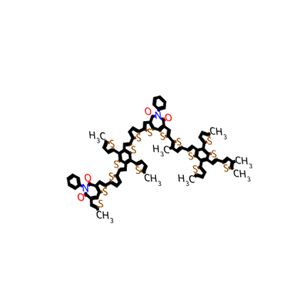 Cc1ccc(-c2c3cc(-c4ccc(-c5cc6c(=O)n(-c7ccccc7)c(=O)c7cc(-c8sc(-c9cc%10c(-c%11ccc(C)s%11)c%11sc(-c%12cc(C)c(C)s%12)cc%11c(-c%11ccc(C)s%11)c%10s9)cc8C)sc7c6s5)s4)sc3c(-c3ccc(C)s3)c3cc(-c4ccc(-c5cc6c(=O)n(-c7ccccc7)c(=O)c7cc(C)sc7c6s5)s4)sc23)s1